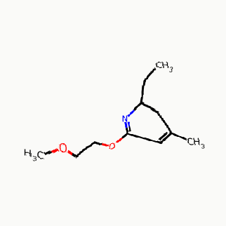 CCC1CC(C)=CC(OCCOC)=N1